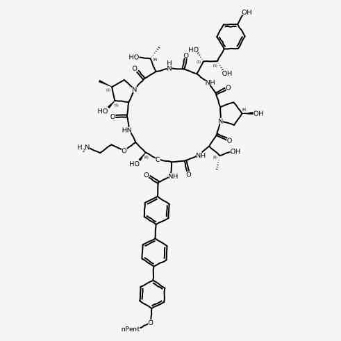 CCCCCOc1ccc(-c2ccc(-c3ccc(C(=O)NC4C[C@@H](O)C(OCCN)NC(=O)C5[C@@H](O)[C@@H](C)CN5C(=O)C([C@@H](C)O)NC(=O)C([C@H](O)[C@@H](O)c5ccc(O)cc5)NC(=O)C5C[C@@H](O)CN5C(=O)C([C@@H](C)O)NC4=O)cc3)cc2)cc1